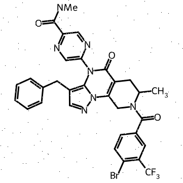 CNC(=O)c1cnc(-n2c(=O)c3c(n4ncc(Cc5ccccc5)c24)CN(C(=O)c2ccc(Br)c(C(F)(F)F)c2)C(C)C3)cn1